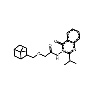 CC(C)c1nc2ccccc2c(=O)n1NC(=O)COCC1CCC2CC1C2(C)C